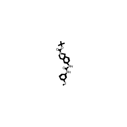 CSc1cccc(NC(=O)Nc2ccc3c(c2)CCN(C(=O)OC(C)(C)C)C3)c1